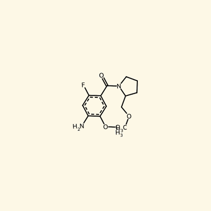 COCC1CCCN1C(=O)c1cc(OC)c(N)cc1F